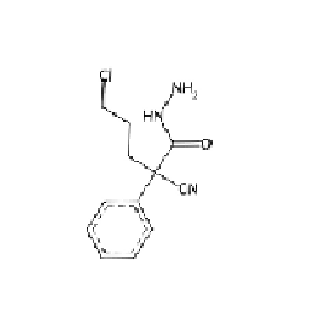 N#CC(CCCCl)(C(=O)NN)c1ccccc1